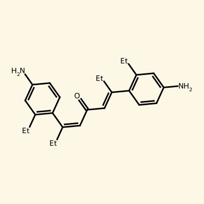 CCC(=CC(=O)C=C(CC)c1ccc(N)cc1CC)c1ccc(N)cc1CC